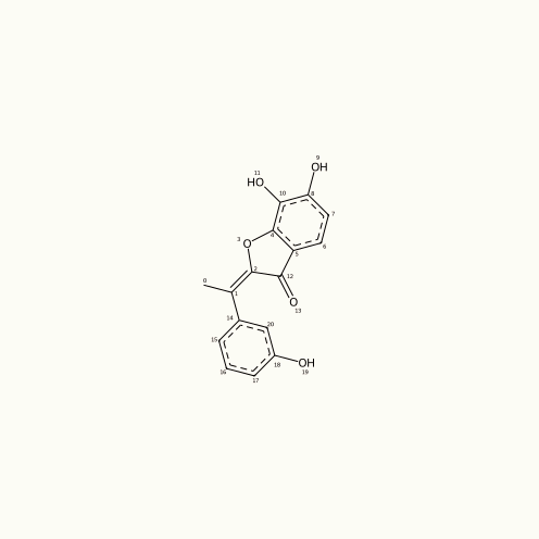 CC(=C1Oc2c(ccc(O)c2O)C1=O)c1cccc(O)c1